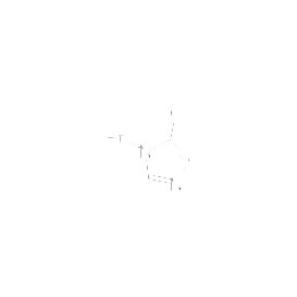 CCn1cncc1Cl